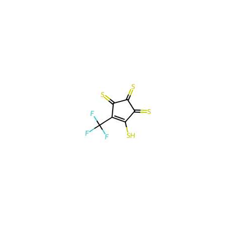 FC(F)(F)c1c(S)c(=S)c(=S)c1=S